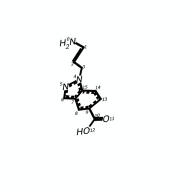 N/C=C/Cn1ncc2cc(C(=O)O)ccc21